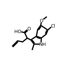 C=CCC(C(=O)O)c1c(C)[nH]c2cc(Cl)c(OC)cc12